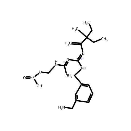 C=C(/N=C(\N=C(/N)NCO[PH](=O)O)NCc1cccc(CN)c1)C(C)(CC)CC